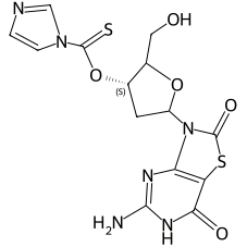 Nc1nc2c(sc(=O)n2C2C[C@H](OC(=S)n3ccnc3)C(CO)O2)c(=O)[nH]1